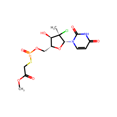 COC(=O)CS[PH](=O)OC[C@H]1O[C@@H](n2ccc(=O)[nH]c2=O)[C@](C)(Cl)[C@@H]1O